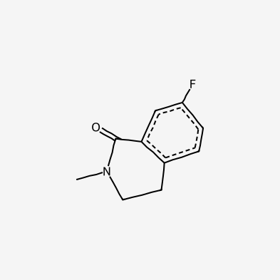 CN1CCc2ccc(F)cc2C1=O